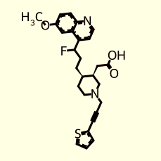 COc1ccc2nccc(C(F)CC[C@@H]3CCN(CC#Cc4cccs4)C[C@@H]3CC(=O)O)c2c1